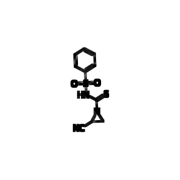 N#CC1CN1C(=S)NS(=O)(=O)c1ccccc1